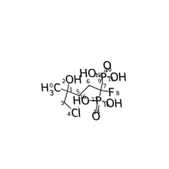 CC(O)(CCl)CCC(F)(P(=O)(O)O)P(=O)(O)O